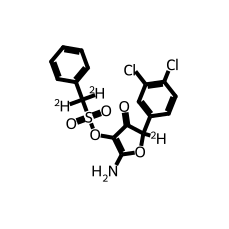 [2H]C1(c2ccc(Cl)c(Cl)c2)OC(N)=C(OS(=O)(=O)C([2H])([2H])c2ccccc2)C1=O